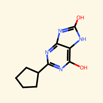 Oc1nc2nc(C3CCCC3)nc(O)c2[nH]1